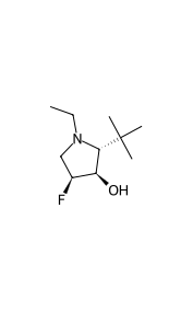 CCN1C[C@H](F)[C@H](O)[C@H]1C(C)(C)C